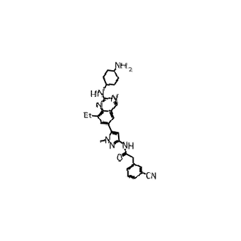 CCc1cc(-c2cc(NC(=O)Cc3cccc(C#N)c3)nn2C)cc2cnc(NC3CCC(N)CC3)nc12